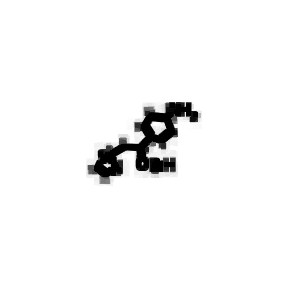 Br.Nc1ccc(C(=O)Cc2nccs2)cc1